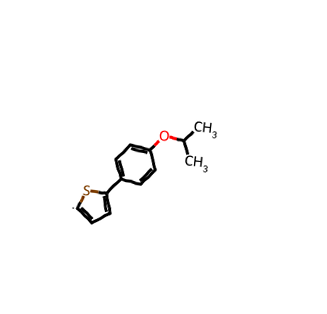 CC(C)Oc1ccc(-c2cc[c]s2)cc1